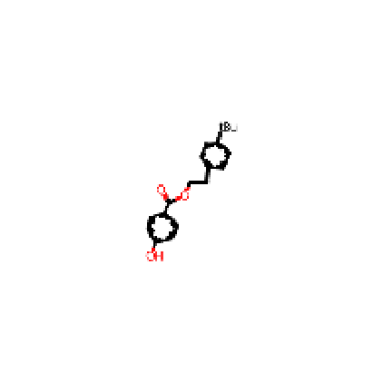 CC(C)(C)c1ccc(CCOC(=O)c2ccc(O)cc2)cc1